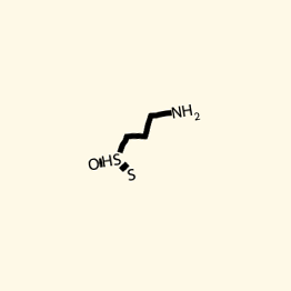 NCCC[SH](=O)=S